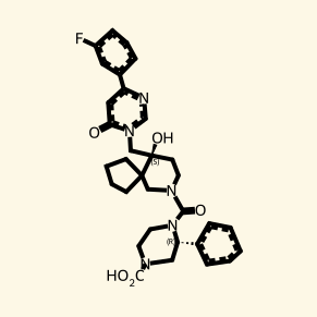 O=C(O)N1CCN(C(=O)N2CC[C@@](O)(Cn3cnc(-c4cccc(F)c4)cc3=O)C3(CCCC3)C2)[C@H](c2ccccc2)C1